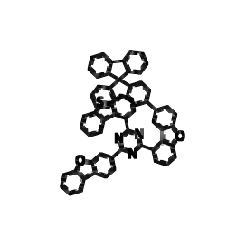 c1ccc2c(c1)-c1ccccc1C21c2ccccc2-c2cc(-c3ccc4oc5cccc(-c6nc(-c7ccc8c(c7)oc7ccccc78)nc(-c7cccc8sc9ccccc9c78)n6)c5c4c3)ccc21